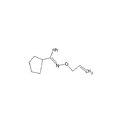 C=CCO/N=C(\CCC)C1CCCC1